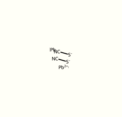 N#C[S-].N#C[S-].[Pb+2].[Pb]